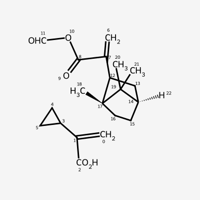 C=C(C(=O)O)C1CC1.C=C(C(=O)OC=O)C1C[C@H]2CC[C@@]1(C)C2(C)C